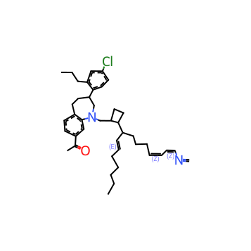 C=N/C=C\C=C/CCCC(/C=C/CCCCC)C1CCC1CN1CC(c2ccc(Cl)cc2CCC)CCc2ccc(C(C)=O)cc21